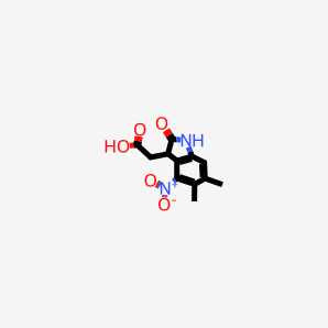 Cc1cc2c(c([N+](=O)[O-])c1C)C(CC(=O)O)C(=O)N2